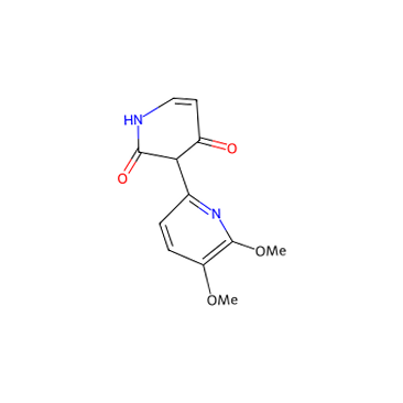 COc1ccc(C2C(=O)C=CNC2=O)nc1OC